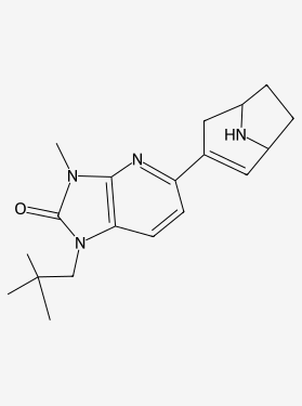 Cn1c(=O)n(CC(C)(C)C)c2ccc(C3=CC4CCC(C3)N4)nc21